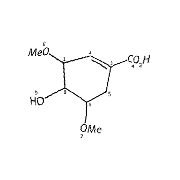 COC1C=C(C(=O)O)CC(OC)C1O